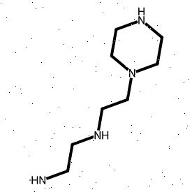 [NH]CCNCCN1CCNCC1